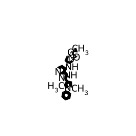 CCS(=O)(=O)N1CCC(Nc2ccnc3nc(-c4cc(C)n(-c5ccccc5)c4C)[nH]c23)C1